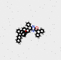 c1ccc(-c2nc3oc4c5ccccc5c5ccccc5c4c3nc2-c2ccc3cc(-c4cccc5c4C4(c6cc7ccccc7cc6-5)C5CC6CC(C5)CC4C6)ccc3c2)cc1